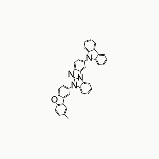 Cc1ccc2oc3ccc(-n4c5ccccc5n5c6cc(-n7c8ccccc8c8ccccc87)ccc6nc45)cc3c2c1